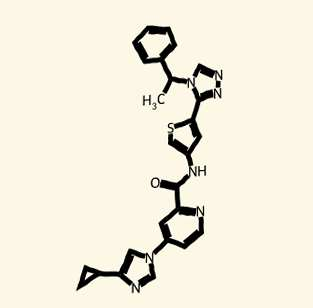 CC(c1ccccc1)n1cnnc1-c1cc(NC(=O)c2cc(-n3cnc(C4CC4)c3)ccn2)cs1